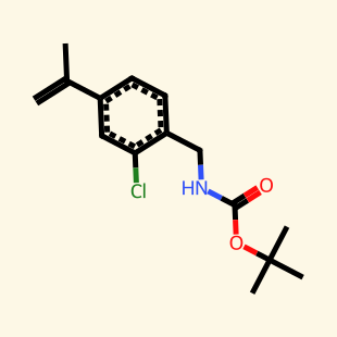 C=C(C)c1ccc(CNC(=O)OC(C)(C)C)c(Cl)c1